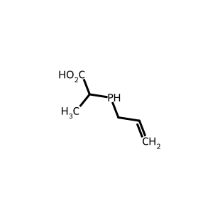 C=CCPC(C)C(=O)O